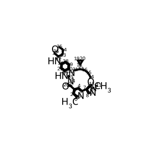 Cc1cc2cc(n1)-c1cnn(C)c1OCCC[C@@H](C1CC1)CN1/C(=N/C2=O)Nc2cc(N[C@@H]3CCCOC3)ccc21